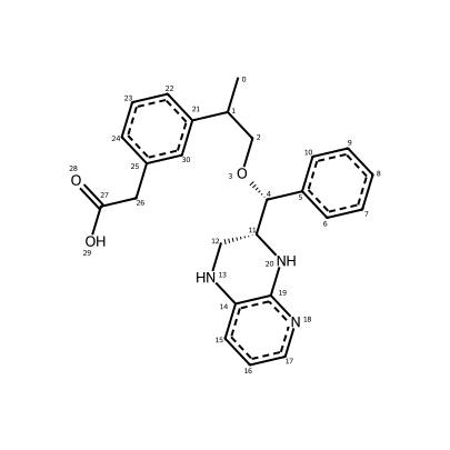 CC(CO[C@H](c1ccccc1)[C@H]1CNc2cccnc2N1)c1cccc(CC(=O)O)c1